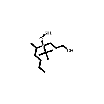 CCCCC(C)[Si](CCCO)(O[SiH3])C(C)(C)C